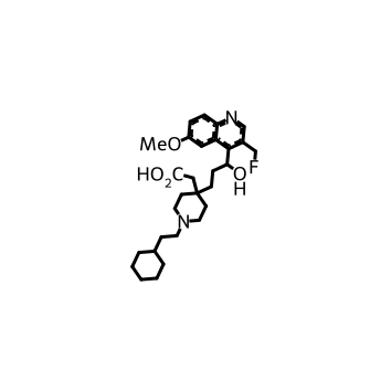 COc1ccc2ncc(CF)c(C(O)CCC3(CC(=O)O)CCN(CCC4CCCCC4)CC3)c2c1